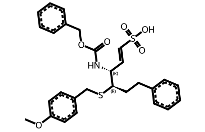 COc1ccc(CS[C@H](CCc2ccccc2)[C@@H](C=CS(=O)(=O)O)NC(=O)OCc2ccccc2)cc1